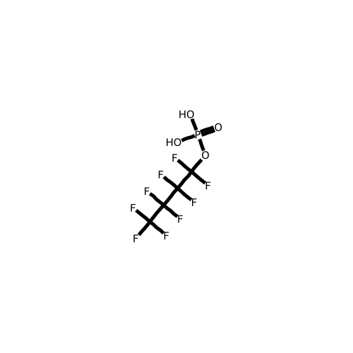 O=P(O)(O)OC(F)(F)C(F)(F)C(F)(F)C(F)(F)F